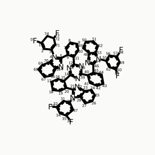 FC1=CC(n2c(-c3ccccc3-c3nc(-c4ccccc4-c4nc5ccccc5n4-c4cc(F)cc(F)c4)nc(-c4ccccc4-c4nc5ccccc5n4-c4cc(F)cc(F)c4)n3)nc3ccccc32)=CC(F)C1